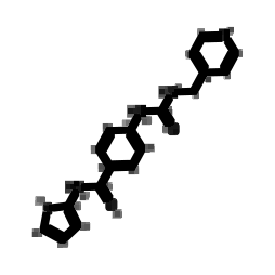 O=C(NCc1ccncc1)Nc1ccc(C(=O)Nc2cccs2)cc1